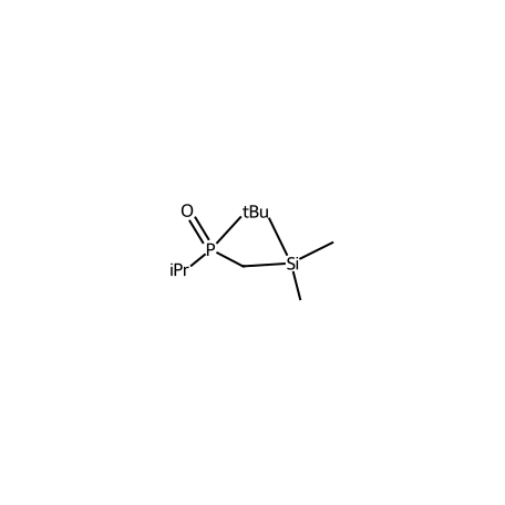 CC(C)P(=O)(C[Si](C)(C)C)C(C)(C)C